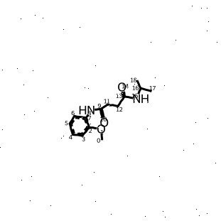 COc1ccccc1NC(=O)CCC(=O)NC(C)C